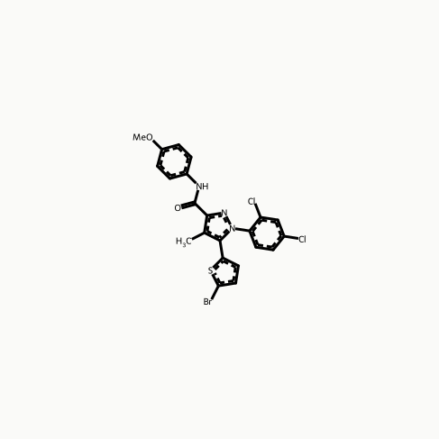 COc1ccc(NC(=O)c2nn(-c3ccc(Cl)cc3Cl)c(-c3ccc(Br)s3)c2C)cc1